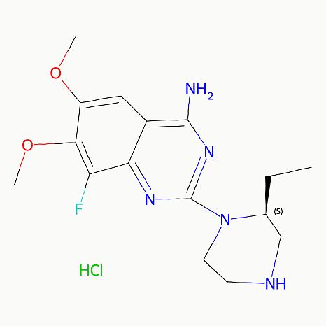 CC[C@H]1CNCCN1c1nc(N)c2cc(OC)c(OC)c(F)c2n1.Cl